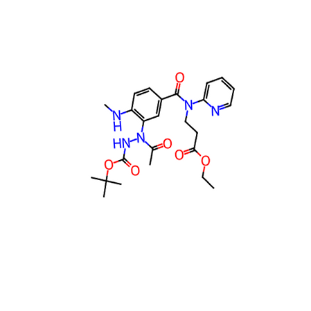 CCOC(=O)CCN(C(=O)c1ccc(NC)c(N(NC(=O)OC(C)(C)C)C(C)=O)c1)c1ccccn1